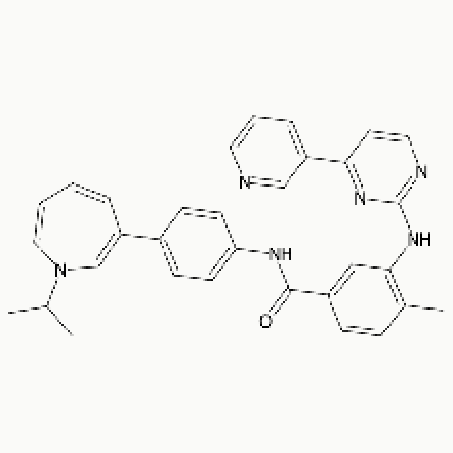 Cc1ccc(C(=O)Nc2ccc(C3=CN(C(C)C)C=CC=C3)cc2)cc1Nc1nccc(-c2cccnc2)n1